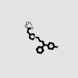 COC(=O)CC1CCN(CC/C=C(\c2ccccc2)c2ccc(F)cc2)C1